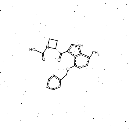 Cc1ccc(OCc2ccccc2)c2c(C(=O)[C@H]3CCN3C(=O)O)c[nH]c12